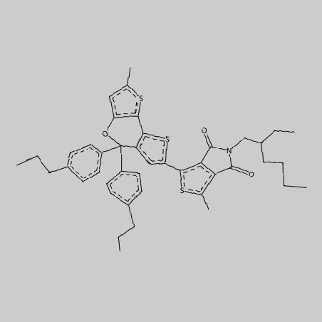 CCCCC(CC)CN1C(=O)c2c(C)sc(-c3cc4c(s3)-c3sc(C)cc3OC4(c3ccc(CCC)cc3)c3ccc(CCC)cc3)c2C1=O